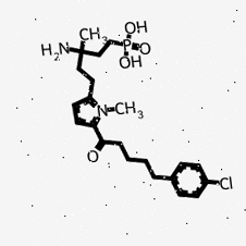 Cn1c(CCC(C)(N)CCP(=O)(O)O)ccc1C(=O)CCCCc1ccc(Cl)cc1